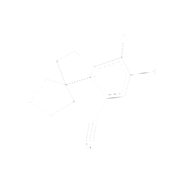 N#Cc1cc(I)c(Cl)c2c1C1(CCCC1)CC2